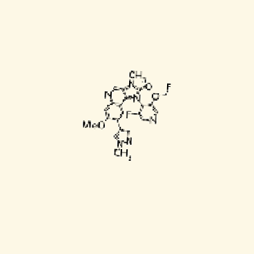 COc1cc2ncc3c(c2cc1-c1cnn(C)c1)n(-c1c(F)cncc1OCF)c(=O)n3C